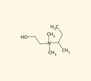 CCC(C)[N+](C)(C)CCO